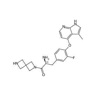 Cc1c[nH]c2nccc(Oc3ccc(C[C@H](N)C(=O)N4CC5(CNC5)C4)cc3F)c12